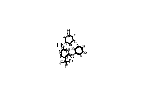 FC(F)(F)c1cnc(NC2CCCNC2)nc1Oc1ccccc1